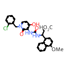 COc1ccc(C(CC(=O)O)NC(=O)Nc2c(O)ccn(Cc3ccccc3Cl)c2=O)c2ccccc12